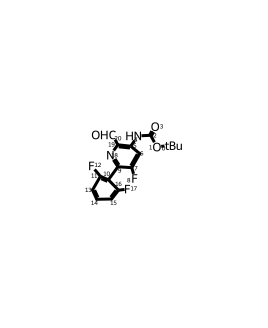 CC(C)(C)OC(=O)Nc1cc(F)c(-c2c(F)cccc2F)nc1C=O